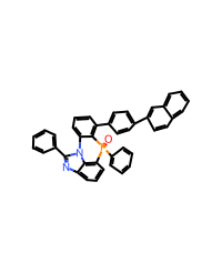 O=P1(c2ccccc2)c2c(-c3ccc(-c4ccc5ccccc5c4)cc3)cccc2-n2c(-c3ccccc3)nc3cccc1c32